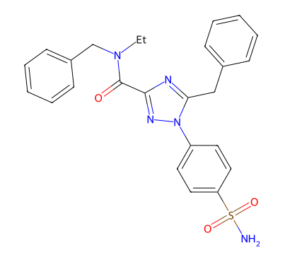 CCN(Cc1ccccc1)C(=O)c1nc(Cc2ccccc2)n(-c2ccc(S(N)(=O)=O)cc2)n1